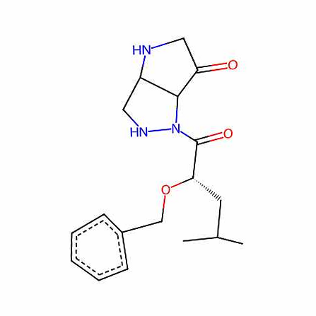 CC(C)C[C@H](OCc1ccccc1)C(=O)N1NCC2NCC(=O)C21